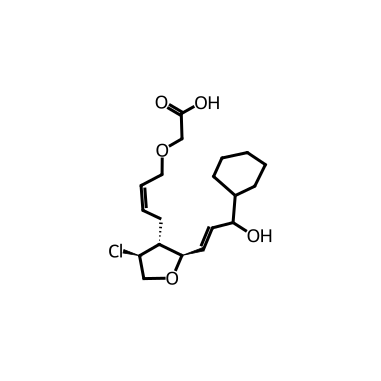 O=C(O)COC/C=C\C[C@H]1[C@H](Cl)CO[C@@H]1/C=C/C(O)C1CCCCC1